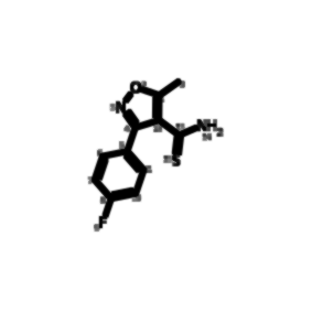 Cc1onc(-c2ccc(F)cc2)c1C(N)=S